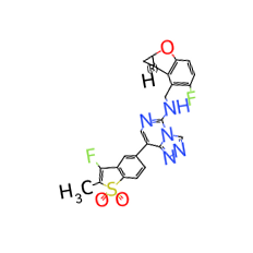 CC1=C(F)c2cc(-c3cnc(NCc4c(F)ccc5c4[C@H]4CC4O5)n4cnnc34)ccc2S1(=O)=O